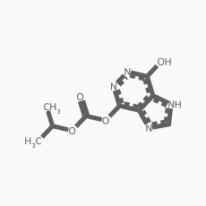 CC(C)OC(=O)Oc1nnc(O)c2[nH]cnc12